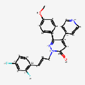 COc1ccc(-c2nn(C/C=C/c3ccc(F)cc3F)c(=O)cc2-c2ccncc2)cc1